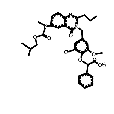 CCCc1nc2ccc(N(C)C(=O)OCC(C)C)cc2c(=O)n1Cc1cc(Cl)c(OC(C(=O)O)c2ccccc2)c(OC)c1